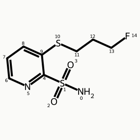 NS(=O)(=O)c1ncccc1SCCCF